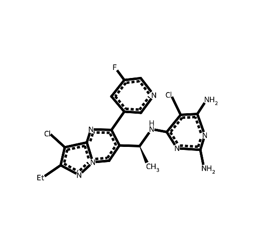 CCc1nn2cc([C@H](C)Nc3nc(N)nc(N)c3Cl)c(-c3cncc(F)c3)nc2c1Cl